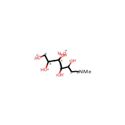 CNCC(O)C(O)C(O)C(O)CO.O